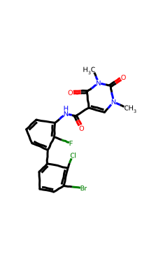 Cn1cc(C(=O)Nc2cccc(-c3cccc(Br)c3Cl)c2F)c(=O)n(C)c1=O